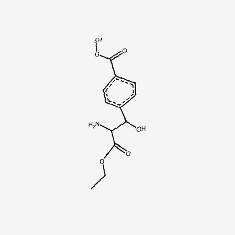 CCOC(=O)C(N)C(O)c1ccc(C(=O)OS)cc1